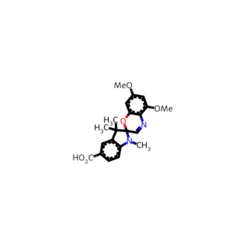 COc1cc(OC)c2c(c1)OC1(C=N2)N(C)c2ccc(C(=O)O)cc2C1(C)C